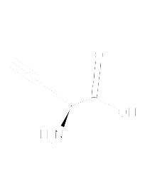 C#C[C@H](N)C(=O)O